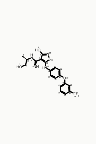 C[C@H](CO)NC(=N)c1c(O)nsc1Nc1ccc(Oc2cccc(C(F)(F)F)c2)cc1